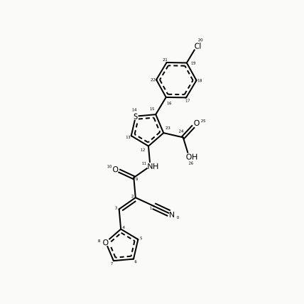 N#C/C(=C\c1ccco1)C(=O)Nc1csc(-c2ccc(Cl)cc2)c1C(=O)O